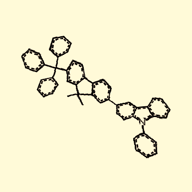 CC1(C)c2cc(-c3ccc4c(c3)c3ccccc3n4-c3ccccc3)ccc2-c2ccc(C(c3ccccc3)(c3ccccc3)c3ccccc3)cc21